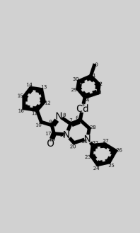 Cc1cc[c]([Cd][C]2=C3N=C(Cc4ccccc4)C(=O)N3CN(c3ccccc3)C2)cc1